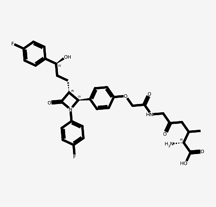 CC(CC(=O)CNC(=O)COc1ccc([C@@H]2[C@@H](CC[C@H](O)c3ccc(F)cc3)C(=O)N2c2ccc(F)cc2)cc1)[C@@H](N)C(=O)O